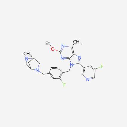 CCOc1nc(C)c2nc(-c3cncc(F)c3)n(Cc3ccc(CN4CC5CC4CN5C)cc3F)c2n1